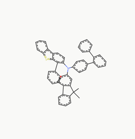 CC1(C)c2ccccc2-c2ccc(N(c3ccc(-c4ccccc4-c4ccccc4)cc3)c3ccc4c(sc5ccccc54)c3-c3ccccc3)cc21